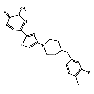 Cn1nc(-c2nc(N3CCC(Cc4ccc(F)c(F)c4)CC3)no2)ccc1=O